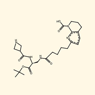 CC(C)(C)OC(=O)[C@H](CNC(=O)CCCCc1ccc2c(n1)N(C(=O)O)CCC2)NC(=O)C1CNC1